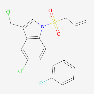 C=CCS(=O)(=O)n1cc(CCl)c2cc(Cl)ccc21.Fc1ccccc1